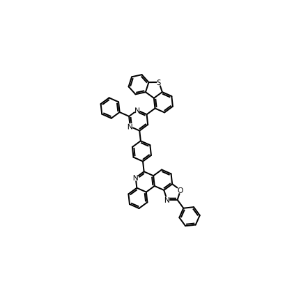 c1ccc(-c2nc(-c3ccc(-c4nc5ccccc5c5c4ccc4oc(-c6ccccc6)nc45)cc3)cc(-c3cccc4sc5ccccc5c34)n2)cc1